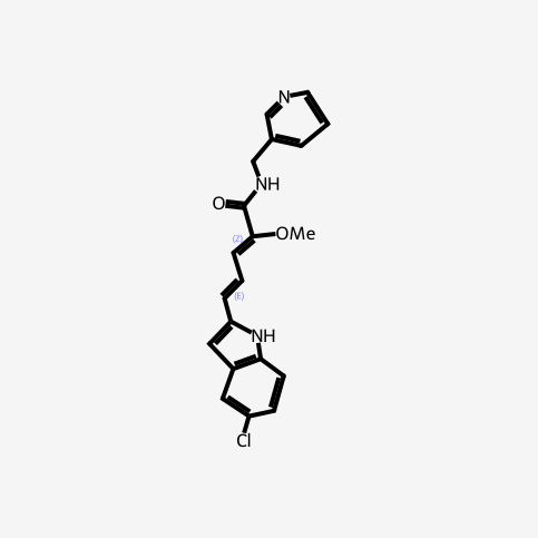 CO/C(=C\C=C\c1cc2cc(Cl)ccc2[nH]1)C(=O)NCc1cccnc1